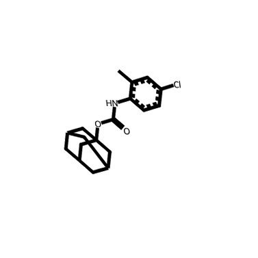 Cc1cc(Cl)ccc1NC(=O)OC12CC3CC(CC(C3)C1)C2